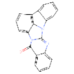 O=c1c2ccccc2nc2n1c1cccc3c4ccccc4n2c31